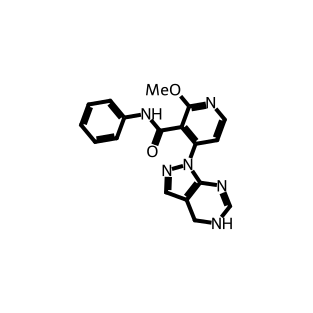 COc1nccc(-n2ncc3c2N=CNC3)c1C(=O)Nc1ccccc1